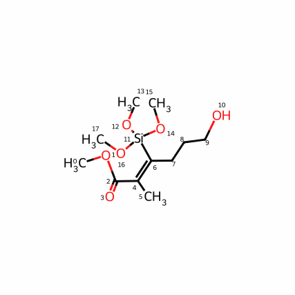 COC(=O)C(C)=C(CCCO)[Si](OC)(OC)OC